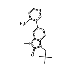 Cn1c(=O)n(CC(C)(C)C)c2ccc(-c3cnccc3N)cc21